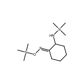 C[Si](C)(C)NC1CCCCC1=NO[Si](C)(C)C